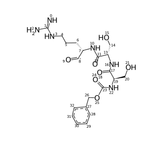 N=C(N)NCCC[C@@H]([C]=O)NC(=O)[C@H](CO)NC(=O)[C@@H](CO)NC(=O)OCc1ccccc1